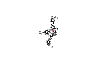 COc1ccc(CS[C@H]2C[C@@H](C(=O)N3CC(NC(=N)CC(=O)OCc4ccc([N+](=O)[O-])cc4)C3)N(C(=O)OCc3ccc([N+](=O)[O-])cc3)C2)cc1